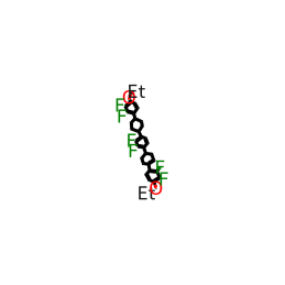 CCOc1ccc(C2=CCC(c3ccc(C4CCC(c5ccc(OCC)c(F)c5F)CC4)c(F)c3F)CC2)c(F)c1F